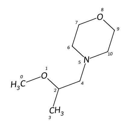 COC(C)CN1CCOCC1